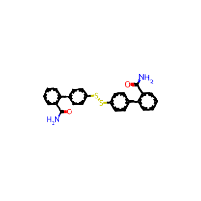 NC(=O)c1ccccc1-c1ccc(SSc2ccc(-c3ccccc3C(N)=O)cc2)cc1